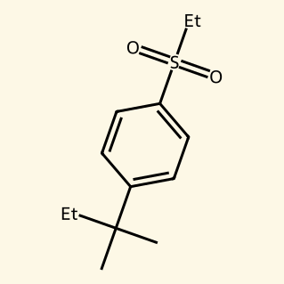 CCC(C)(C)c1ccc(S(=O)(=O)CC)cc1